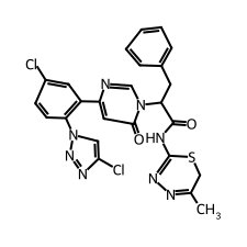 CC1=NN=C(NC(=O)C(Cc2ccccc2)n2cnc(-c3cc(Cl)ccc3-n3cc(Cl)nn3)cc2=O)SC1